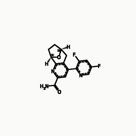 NC(=O)c1cc(-c2ncc(F)cc2F)c2c(n1)[C@H]1CC[C@@H](C2)O1